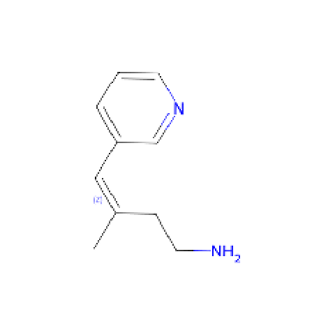 C/C(=C/c1cccnc1)CCN